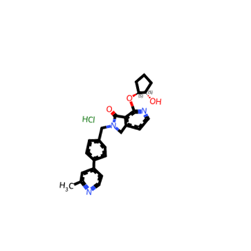 Cc1cc(-c2ccc(CN3Cc4ccnc(O[C@H]5CCC[C@@H]5O)c4C3=O)cc2)ccn1.Cl